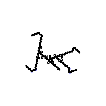 CCCCC/C=C\C/C=C\CCCCCCCC(=O)OCCN(CCOC(=O)CCCCCCC/C=C\C/C=C\CCCCC)C(=O)CCC(=O)NCCC[C@H](NC(=O)CCC(=O)N(CCOC(=O)CCCCCCC/C=C\C/C=C\CCCCC)CCOC(=O)CCCCCCC/C=C\C/C=C\CCCCC)C(=O)NCCCOCCOCC